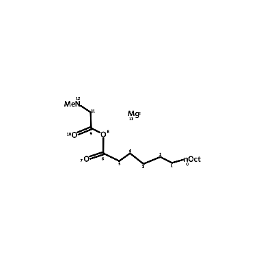 CCCCCCCCCCCCCC(=O)OC(=O)CNC.[Mg]